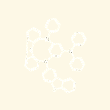 c1ccc(N(c2ccccc2)c2cc3cc(c2)N(c2ccc4sc5ccccc5c4c2)c2cccc4c2sc2c(cccc24)N3c2ccccc2)cc1